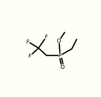 CCP(=O)(CC(F)(F)F)OC